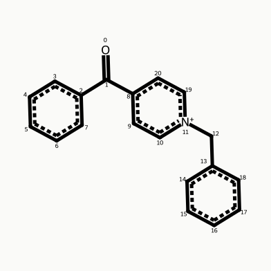 O=C(c1ccccc1)c1cc[n+](Cc2ccccc2)cc1